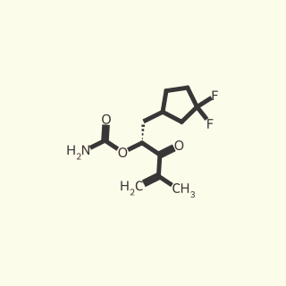 C=C(C)C(=O)[C@@H](CC1CCC(F)(F)C1)OC(N)=O